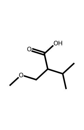 COCC(C(=O)O)C(C)C